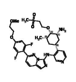 COCCOc1cc(F)c(-c2ccc3cnc(Nc4cnccc4[C@H]4C[C@@H](N)[C@@H](OCCS(C)(=O)=O)[C@@H](C)C4)n3n2)c(F)c1